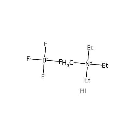 CC[N+](C)(CC)CC.F[B-](F)(F)F.I